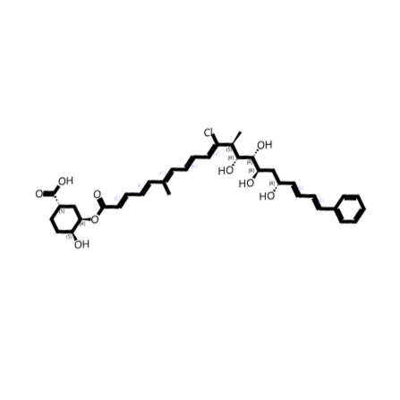 CC(/C=C/C=C/C(=O)O[C@@H]1C[C@@H](C(=O)O)CC[C@@H]1O)=C\C=C\C=C(/Cl)[C@@H](C)[C@@H](O)[C@H](O)[C@H](O)C[C@@H](O)/C=C/C=C/c1ccccc1